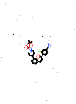 CC(C)(C)OC(=O)N1CCC(c2cccc3c2O[C@@H](c2ccc(C#N)cc2F)C=C3)CC1